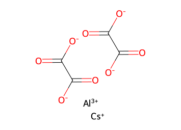 O=C([O-])C(=O)[O-].O=C([O-])C(=O)[O-].[Al+3].[Cs+]